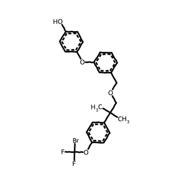 CC(C)(COCc1cccc(Oc2ccc(O)cc2)c1)c1ccc(OC(F)(F)Br)cc1